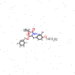 CCOC(=O)COc1ccc(CC(NC(=O)OC(C)(C)C)C(=O)OCc2ccccc2)cc1I